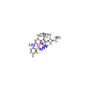 Cc1ccc(NC(=O)CC(CC(=O)O)c2noc(C3CC(CC(C)C)C3)c2C2CC2)c(CN=[N+]=[N-])c1